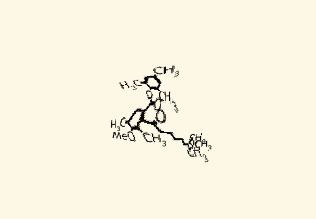 COc1c(C)cc(C(=O)Oc2c(C)cc(C)cc2C)c(C(=O)CCCCC[N+](C)(C)C)c1C